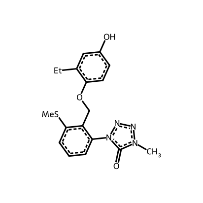 CCc1cc(O)ccc1OCc1c(SC)cccc1-n1nnn(C)c1=O